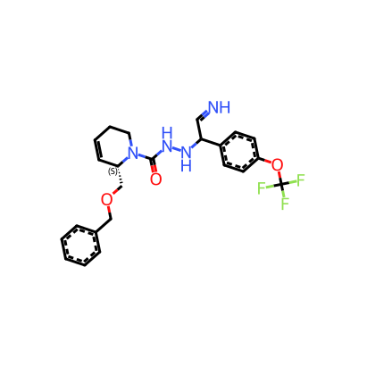 N=CC(NNC(=O)N1CCC=C[C@H]1COCc1ccccc1)c1ccc(OC(F)(F)F)cc1